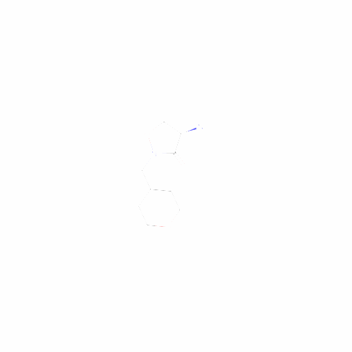 N[C@@H]1CON(CC2CCOCC2)C1=O